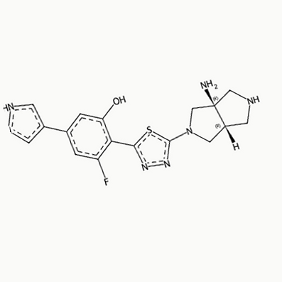 N[C@@]12CNC[C@@H]1CN(c1nnc(-c3c(O)cc(-c4cn[nH]c4)cc3F)s1)C2